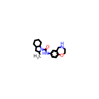 CC1CC2CCCCC2N1C(=O)Nc1ccc2c(c1)CNCCO2